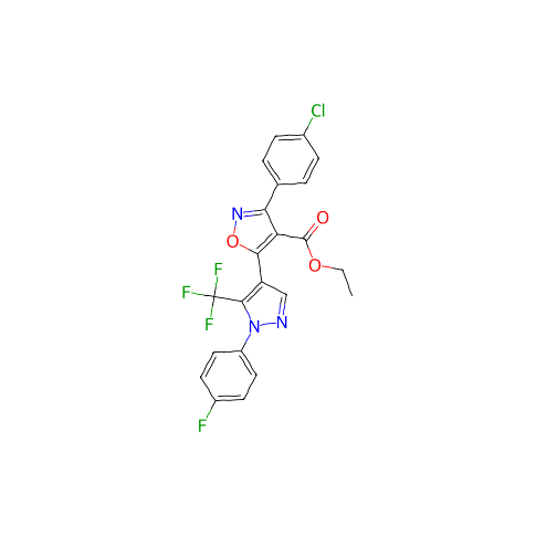 CCOC(=O)c1c(-c2ccc(Cl)cc2)noc1-c1cnn(-c2ccc(F)cc2)c1C(F)(F)F